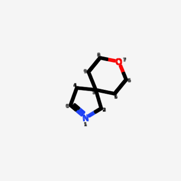 C1=NCC2(C1)CCOCC2